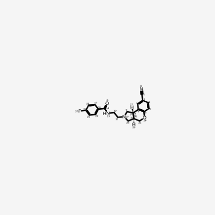 N#Cc1ccc2c(c1)[C@H]1CN(CCNC(=O)c3ccc(F)cc3)C[C@@H]1CO2